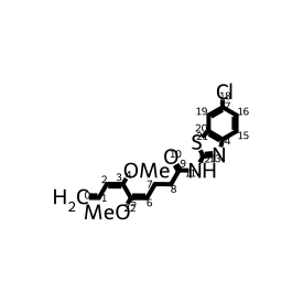 C=C/C=C(OC)\C(=C/CCC(=O)Nc1nc2ccc(Cl)cc2s1)OC